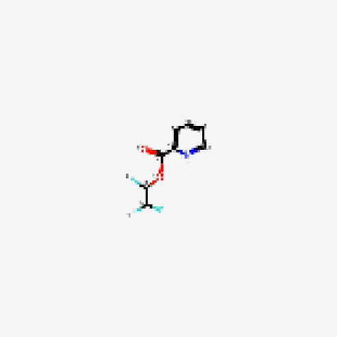 O=C(OC(F)C(F)F)c1ccccn1